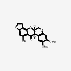 COc1cc2c(cc1OC)[C@@H]1C(=O)c3c(O)cc4occc4c3O[C@@H]1CO2